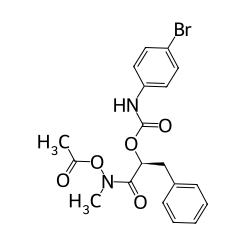 CC(=O)ON(C)C(=O)[C@H](Cc1ccccc1)OC(=O)Nc1ccc(Br)cc1